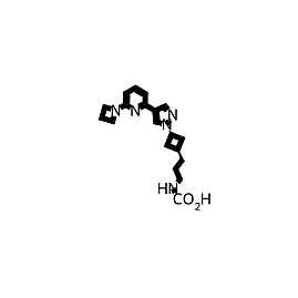 O=C(O)NCCC[C@H]1C[C@H](n2cc(-c3cccc(N4CCC4)n3)cn2)C1